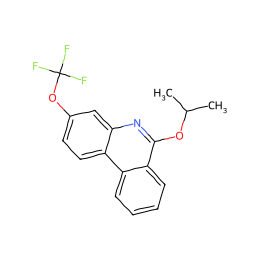 CC(C)Oc1nc2cc(OC(F)(F)F)ccc2c2ccccc12